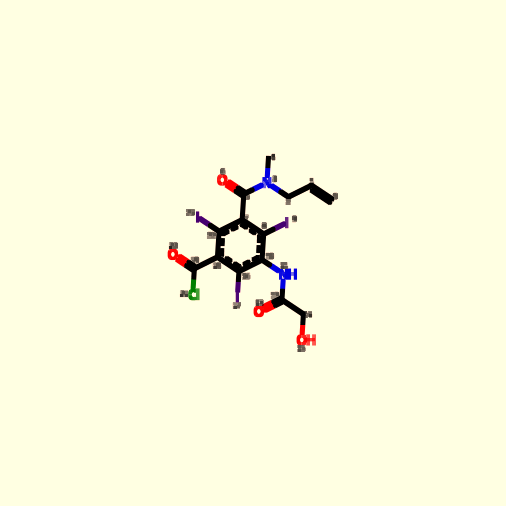 C=CCN(C)C(=O)c1c(I)c(NC(=O)CO)c(I)c(C(=O)Cl)c1I